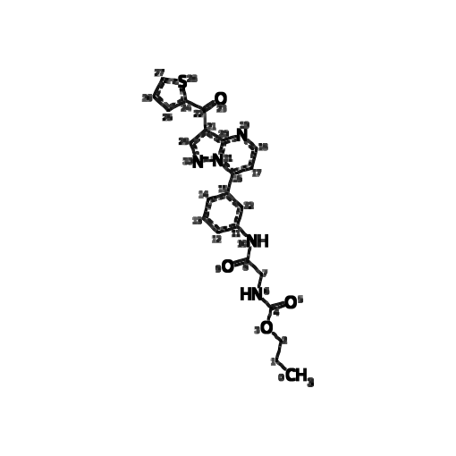 CCCOC(=O)NCC(=O)Nc1cccc(-c2ccnc3c(C(=O)c4cccs4)cnn23)c1